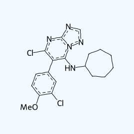 COc1ccc(-c2c(Cl)nc3ncnn3c2NC2CCCCCC2)cc1Cl